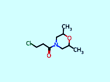 CC1CN(C(=O)CCCl)CC(C)O1